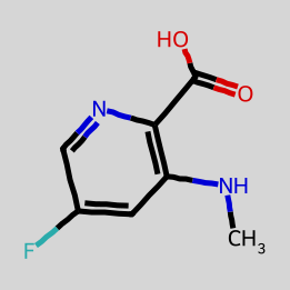 CNc1cc(F)cnc1C(=O)O